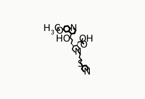 COc1ccc2nccc([C@H](O)CC[C@@H]3CCN(CCCSc4ccncc4)C[C@@H]3CC(=O)O)c2c1